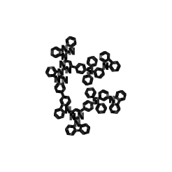 c1ccc([Si](c2ccccc2)(c2ccc(-c3cc(-n4c5ccccc5c5cc(-c6ccc7c(c6)nc6n(-c8nc(-c9ccc([Si](c%10ccccc%10)(c%10ccccc%10)c%10cccc(-n%11c%12ccccc%12c%12ccccc%12%11)c%10)cc9)cc(-n9c%10ccccc%10n%10c%11ccccc%11nc9%10)n8)c8ccccc8n76)ccc54)nc(-n4c5ccccc5c5ccccc54)n3)cc2)c2cccc(-n3c4ccccc4c4ccccc43)c2)cc1